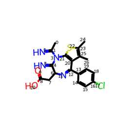 CC(=N)N1C(=N)C(CC(=O)O)N=C(c2ccc(Cl)cc2)c2c1sc(C)c2C